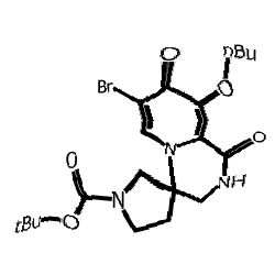 CCCCOc1c2n(cc(Br)c1=O)C1(CCN(C(=O)OC(C)(C)C)C1)CNC2=O